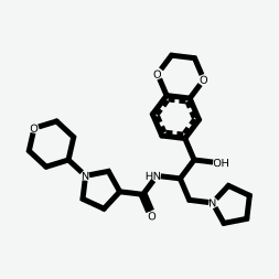 O=C(NC(CN1CCCC1)C(O)c1ccc2c(c1)OCCO2)C1CCN(C2CCOCC2)C1